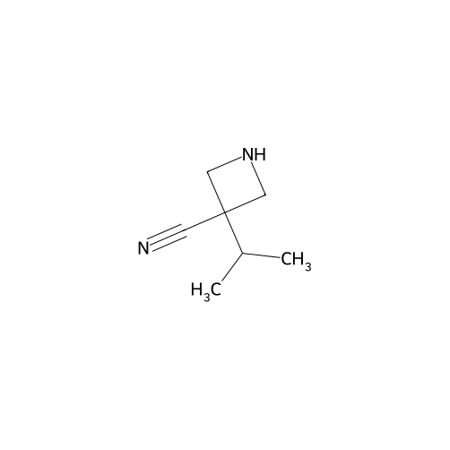 CC(C)C1(C#N)CNC1